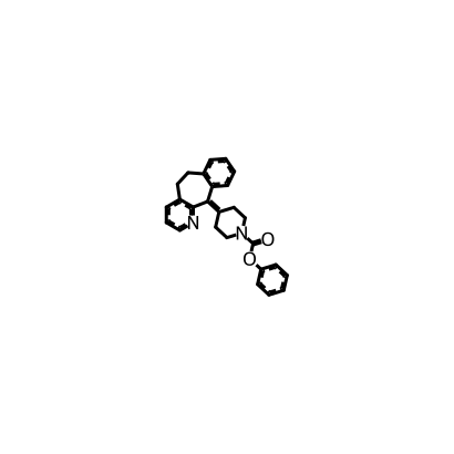 O=C(Oc1ccccc1)N1CCC(=C2c3ccccc3CCc3cccnc32)CC1